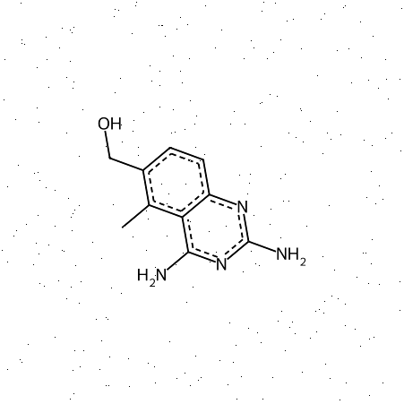 Cc1c(CO)ccc2nc(N)nc(N)c12